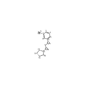 Brc1cccc(OCOC2CCCC2)c1